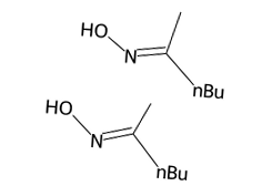 CCCCC(C)=NO.CCCCC(C)=NO